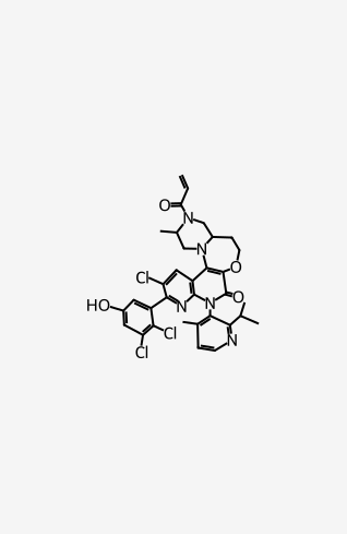 C=CC(=O)N1CC2CCOc3c(c4cc(Cl)c(-c5cc(O)cc(Cl)c5Cl)nc4n(-c4c(C)ccnc4C(C)C)c3=O)N2CC1C